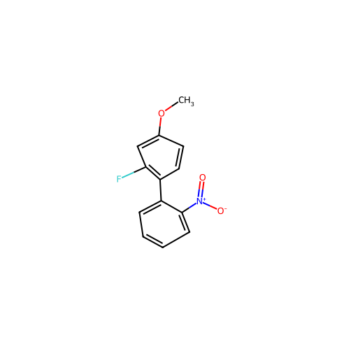 COc1ccc(-c2ccccc2[N+](=O)[O-])c(F)c1